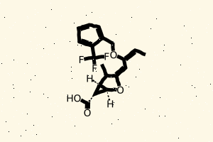 C/C=C(\C=C1\O[C@H]2[C@H](C(=O)O)[C@H]2C1C)OCc1ccccc1C(F)(F)F